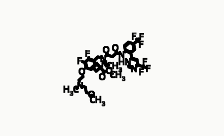 COCCN(C)CCOc1ccc(CN(C(=O)CC(=O)Nc2ccc(C(F)(F)F)cc2-c2cc(C(F)(F)F)ncn2)N(C)C2(C(=O)OC)CCC2)c(F)c1F